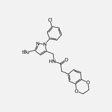 CC(C)(C)c1cc(CNC(=O)Cc2ccc3c(c2)OCCO3)n(-c2cccc(Cl)c2)n1